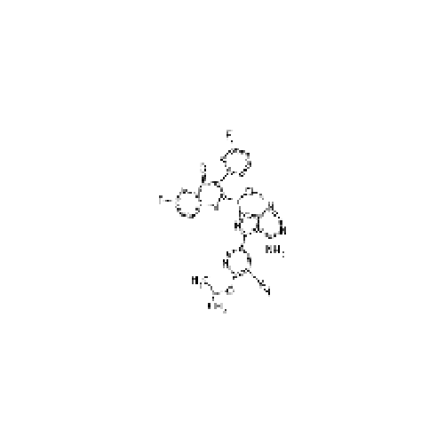 CC(C)Oc1ncc(-c2nn(C(C)c3nc4ccc(F)cn4c(=O)c3-c3cccc(F)c3)c3ncnc(N)c23)cc1C#N